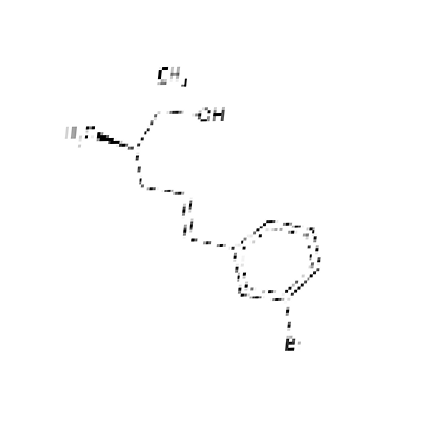 C[C@H](O)[C@H](C)C/C=C/c1cccc(Br)c1